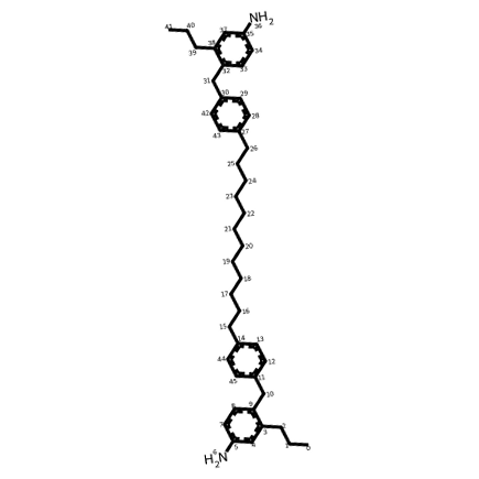 CCCc1cc(N)ccc1Cc1ccc(CCCCCCCCCCCCc2ccc(Cc3ccc(N)cc3CCC)cc2)cc1